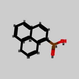 O=S(O)c1ccc2cccc3c2c1C=CC3